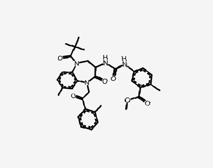 COC(=O)c1cc(NC(=O)NC2CN(C(=O)C(C)(C)C)c3ccc(C)cc3N(CC(=O)c3ccccc3C)C2=O)ccc1C